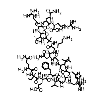 CC[C@](C)(NC(=O)[C@@H](N)CCC(N)=O)C(=O)N[C@@H](CCC(=O)O)C(=O)N[C@@H](Cc1ccccc1)C(=O)N[C@H](C(=O)N[C@@H](CCCNC(=N)N)C(=O)N[C@@H](Cc1c[nH]cn1)C(=O)N[C@@H](CC(C)C)C(=O)N[C@@H](CC(C)C)C(=O)N[C@@H](CC(N)=O)C(=O)N[C@@H](CCCCN)C(=O)NC(C)(C)C(=O)N[C@H](C(=O)N[C@@H](CCCNC(=N)N)C(=O)N[C@@H](CCC(N)=O)C(=O)N[C@@H](CCCNC(=N)N)C(=O)O)[C@@H](C)O)C(C)C